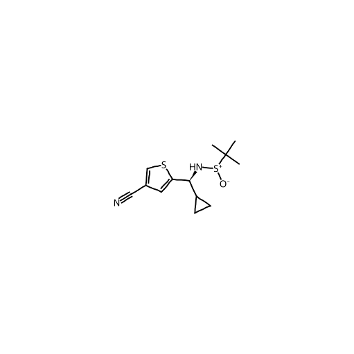 CC(C)(C)[S+]([O-])N[C@H](c1cc(C#N)cs1)C1CC1